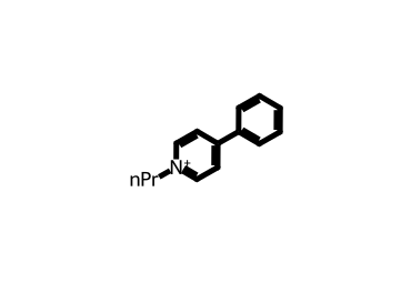 CCC[n+]1ccc(-c2ccccc2)cc1